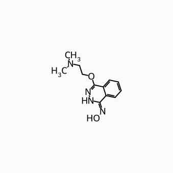 CN(C)CCOc1n[nH]/c(=N\O)c2ccccc12